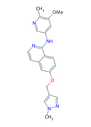 COc1cc(Nc2nccc3cc(OCc4cnn(C)c4)ccc23)cnc1C